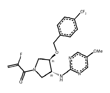 C=C(F)C(=O)N1C[C@@H](Nc2ncc(OC)cn2)[C@H](OCc2ccc(C(F)(F)F)cc2)C1